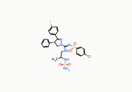 CC(CN/C(=N\S(=O)(=O)c1ccc(Cl)cc1)N1C[C@@H](c2ccccc2)C(c2ccc(F)cc2)=N1)NS(N)(=O)=O